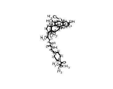 CC[C@H]1[C@@H](O)[C@@H]2[C@H](CC[C@]3(C)[C@@H]([C@H](C)CCNC(=O)NSN4CCN(C(=O)C(C)(C)C)CC4)CC[C@@H]23)[C@@]2(C)CC[C@@H](O)C[C@@H]12